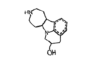 OC1Cc2cccc3c2N(C1)C1CCNCCC31